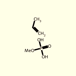 C=CC.COP(=O)(O)O